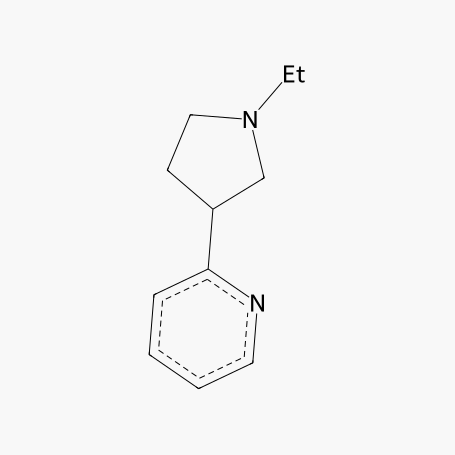 [CH2]CN1CCC(c2ccccn2)C1